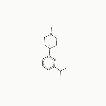 CC(C)c1cccc(C2CCN(C)CC2)n1